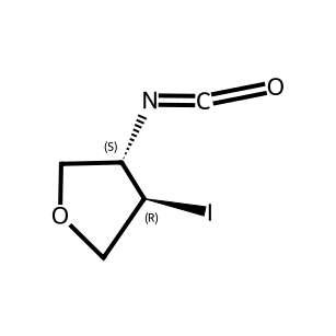 O=C=N[C@H]1COC[C@@H]1I